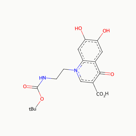 CC(C)(C)OC(=O)NCCn1cc(C(=O)O)c(=O)c2cc(O)c(O)cc21